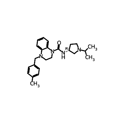 Cc1ccc(CN2CCN(C(=O)N[C@@H]3CCN(C(C)C)C3)c3ccccc32)cc1